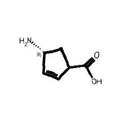 N[C@H]1C=CC(C(=O)O)C1